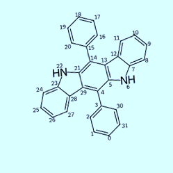 c1ccc(-c2c3[nH]c4ccccc4c3c(-c3ccccc3)c3[nH]c4ccccc4c23)cc1